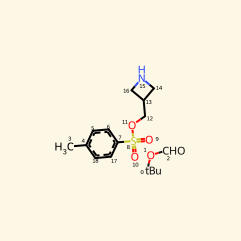 CC(C)(C)OC=O.Cc1ccc(S(=O)(=O)OCC2CNC2)cc1